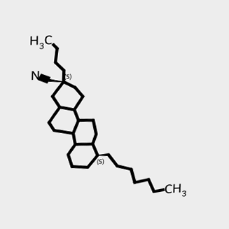 CCCCCCC[C@H]1CCCC2C3CCC4C[C@](C#N)(CCCC)CCC4C3CCC21